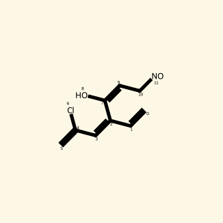 C=CC(=C/C(=C)Cl)/C(O)=C\CN=O